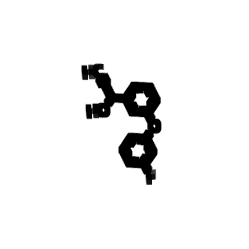 C#CC(O)c1cccc(Oc2cccc(F)c2)c1